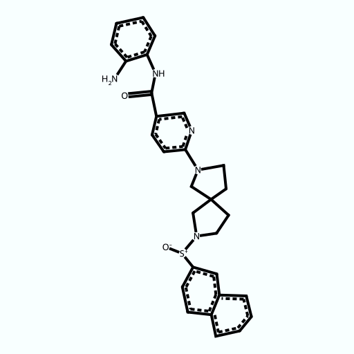 Nc1ccccc1NC(=O)c1ccc(N2CCC3(CCN([S+]([O-])c4ccc5ccccc5c4)C3)C2)nc1